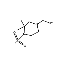 C[C](C)CN1CCN(S(C)(=O)=O)C(C)(C)C1